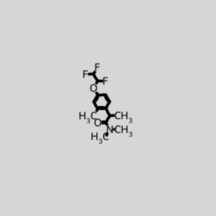 Cc1cc(OC(F)C(F)F)ccc1C(C)C(=O)N(C)C